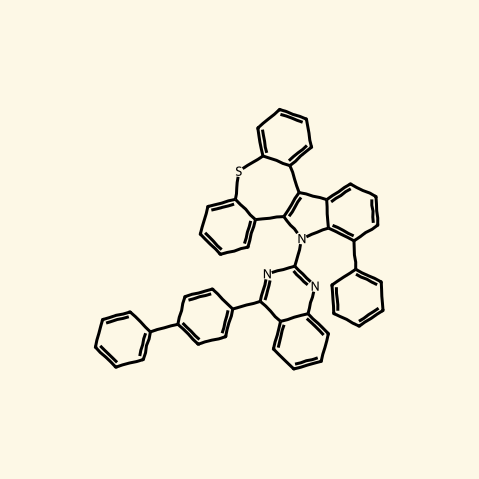 c1ccc(-c2ccc(-c3nc(-n4c5c(c6cccc(-c7ccccc7)c64)-c4ccccc4Sc4ccccc4-5)nc4ccccc34)cc2)cc1